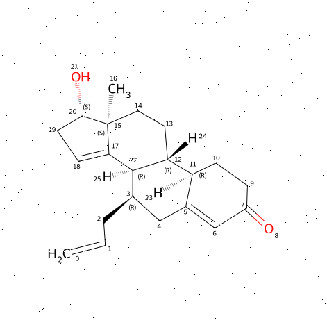 C=CC[C@@H]1CC2=CC(=O)CC[C@@H]2[C@H]2CC[C@@]3(C)C(=CC[C@@H]3O)[C@H]12